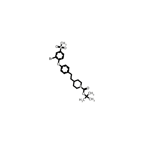 CC(C)(C)OC(=O)N1CCC(CCc2ccc(Oc3ccc(S(C)(=O)=O)cc3Br)cc2)CC1